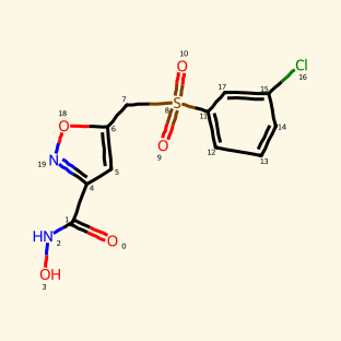 O=C(NO)c1cc(CS(=O)(=O)c2cccc(Cl)c2)on1